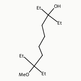 CCC(O)(CC)CCCCC(CC)(CC)OC